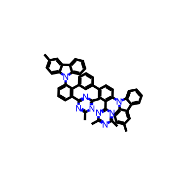 Cc1ccc2c(c1)c1ccccc1n2-c1ccc(-c2cccc(-c3c(-c4nc(C)nc(C)n4)cccc3-n3c4ccccc4c4cc(C)ccc43)c2)cc1-c1nc(C)nc(C)n1